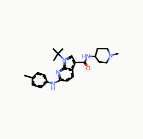 Cc1ccc(Nc2ccc3c(C(=O)NC4CCN(C)CC4)cn(C(C)(C)C)c3n2)cc1